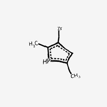 Cc1c[c]([Zr])c(C)[pH]1